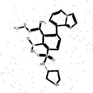 NN/N=C(\N)c1c(-c2cccn3ccnc23)ccc(S(=O)(=O)N[C@@H]2CCNC2)c1[S+](N)[O-]